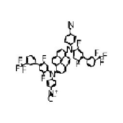 [C-]#[N+]c1ccc(N(c2cc(F)c(-c3cccc(C(F)(F)F)c3)cc2F)c2ccc3ccc4c(N(c5ccc(C#N)cc5)c5cc(F)c(-c6cccc(C(F)(F)F)c6)cc5F)ccc5ccc2c3c54)cc1